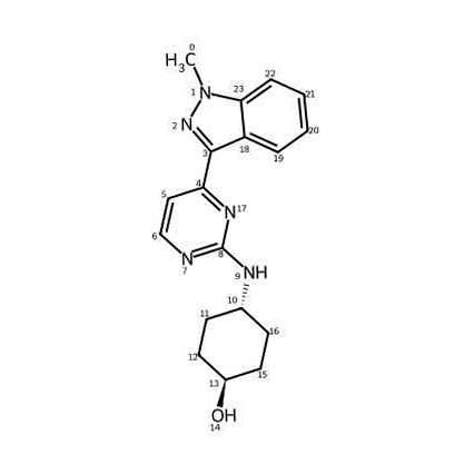 Cn1nc(-c2ccnc(N[C@H]3CC[C@H](O)CC3)n2)c2ccccc21